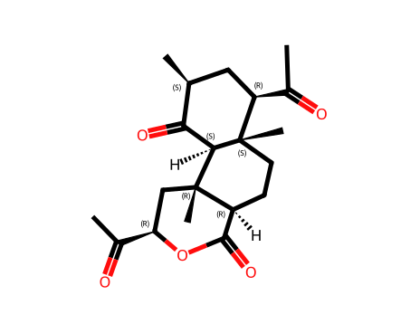 CC(=O)[C@H]1C[C@]2(C)[C@H]3C(=O)[C@@H](C)C[C@@H](C(C)=O)[C@]3(C)CC[C@H]2C(=O)O1